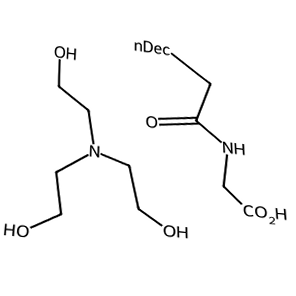 CCCCCCCCCCCC(=O)NCC(=O)O.OCCN(CCO)CCO